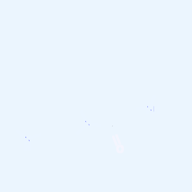 O=C(c1cc2c([nH]1)CCCC2)N1CC2CCCNC2C1